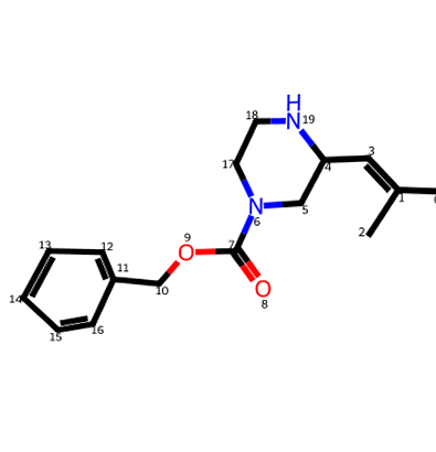 CC(C)=CC1CN(C(=O)OCc2ccccc2)CCN1